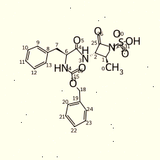 C[C@H]1[C@H](NC(=O)[C@H](Cc2ccccc2)NC(=O)OCc2ccccc2)C(=O)N1S(=O)(=O)O